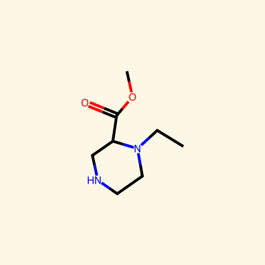 CCN1CCNCC1C(=O)OC